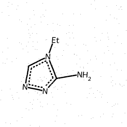 CCn1cnnc1N